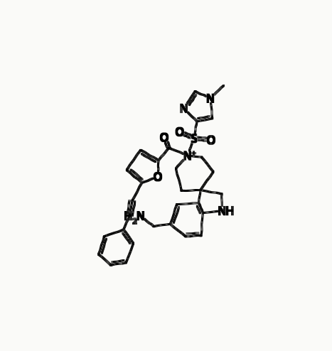 Cn1cnc(S(=O)(=O)[N+]2(C(=O)c3ccc(C#Cc4ccccc4)o3)CCC3(CC2)CNc2ccc(CN)cc23)c1